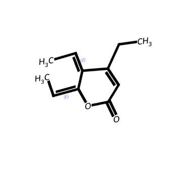 C/C=c1/c(CC)cc(=O)o/c1=C/C